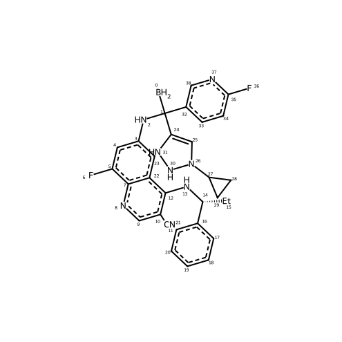 BC(Nc1cc(F)c2ncc(C#N)c(N[C@H](CC)c3ccccc3)c2c1)(C1=CN(C2CC2)NN1)c1ccc(F)nc1